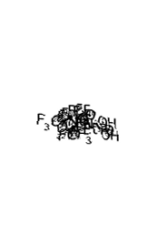 CCN(CCP(=O)(O)O)S(=O)(=O)C(F)(F)C(F)(F)N1C(F)(F)C(F)(C(F)(F)F)OC(F)(C(F)(F)F)C1(F)F